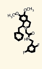 COc1cc2c(cc1OC)C(Cc1ccccc1)N(CC(=O)NCc1cc(F)ccc1F)CC2